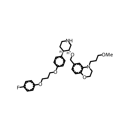 COCCCN1CCOc2ccc(CO[C@H]3CNCC[C@@H]3c3ccc(OCCCOc4ccc(F)cc4)cc3)cc21